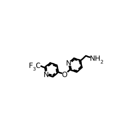 NCc1ccc(Oc2ccc(C(F)(F)F)nc2)nc1